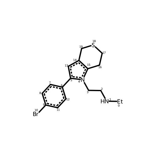 CCNCCn1c(-c2ccc(Br)cc2)cc2c1CCSC2